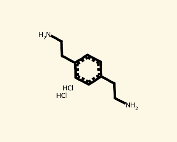 Cl.Cl.NCCc1ccc(CCN)cc1